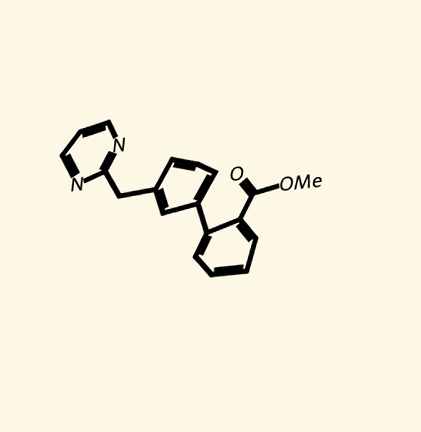 COC(=O)c1ccccc1-c1cccc(Cc2ncccn2)c1